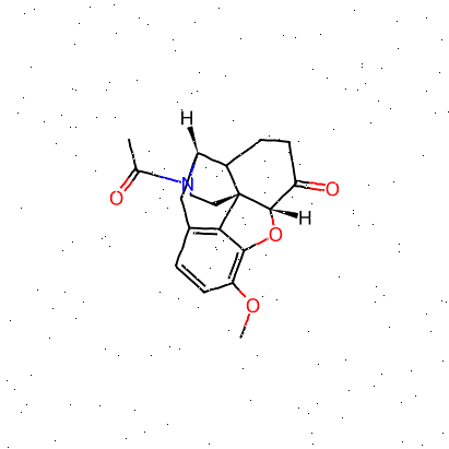 COc1ccc2c3c1O[C@H]1C(=O)CCC4[C@@H](C2)N(C(C)=O)CC[C@@]341